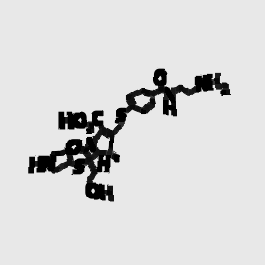 C[C@@H]1C(CSc2ccc(C(=O)NCCN)cc2)=C(C(=O)O)N2C(=O)C(CCO)(SC3CCNC3)[C@H]12